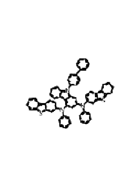 c1ccc(-c2ccc(-n3c4ccccc4c4c(N(c5ccccc5)c5ccc6c(c5)sc5ccccc56)cc(N(c5ccccc5)c5ccc6c(c5)sc5ccccc56)cc43)cc2)cc1